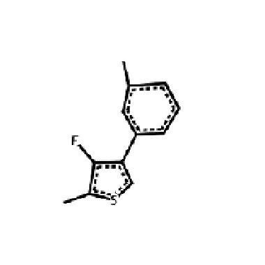 Cc1cccc(-c2csc(C)c2F)c1